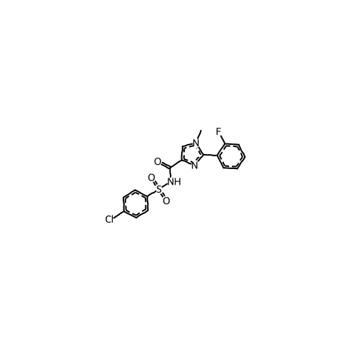 Cn1cc(C(=O)NS(=O)(=O)c2ccc(Cl)cc2)nc1-c1ccccc1F